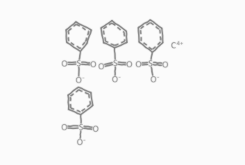 O=S(=O)([O-])c1ccccc1.O=S(=O)([O-])c1ccccc1.O=S(=O)([O-])c1ccccc1.O=S(=O)([O-])c1ccccc1.[C+4]